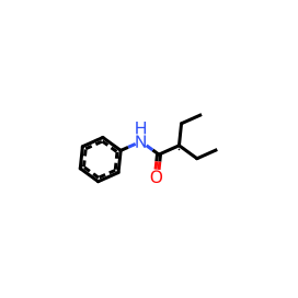 CC[C](CC)C(=O)Nc1ccccc1